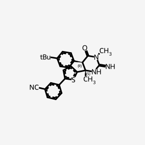 CN1C(=N)N[C@](C)(c2ccc(-c3cccc(C#N)c3)s2)[C@@H](c2ccc(C(C)(C)C)cc2)C1=O